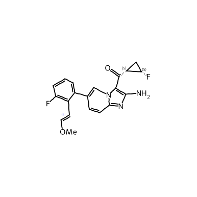 CO/C=C/c1c(F)cccc1-c1ccc2nc(N)c(C(=O)[C@@H]3C[C@@H]3F)n2c1